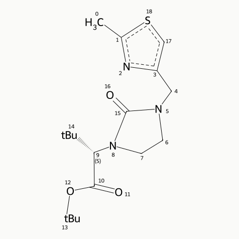 Cc1nc(CN2CCN([C@H](C(=O)OC(C)(C)C)C(C)(C)C)C2=O)cs1